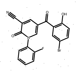 N#Cc1cc(C(=O)c2cc(Br)ccc2O)cn(-c2ccccc2F)c1=O